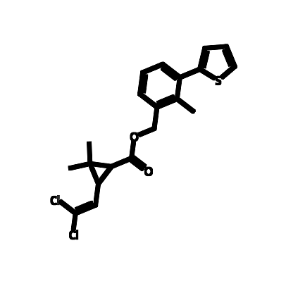 Cc1c(COC(=O)C2C(C=C(Cl)Cl)C2(C)C)cccc1-c1cccs1